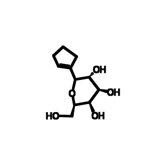 OC[C@H]1OC(C2=CCCC2)[C@H](O)[C@@H](O)[C@H]1O